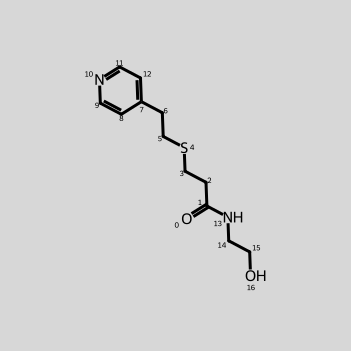 O=C(CCSCCc1ccncc1)NCCO